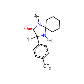 [2H]N1C(=O)C([2H])(c2ccc(C(F)(F)F)cc2)N([2H])C12CCCCC2